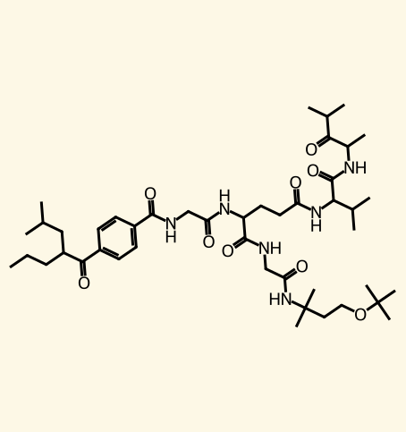 CCCC(CC(C)C)C(=O)c1ccc(C(=O)NCC(=O)NC(CCC(=O)NC(C(=O)NC(C)C(=O)C(C)C)C(C)C)C(=O)NCC(=O)NC(C)(C)CCOC(C)(C)C)cc1